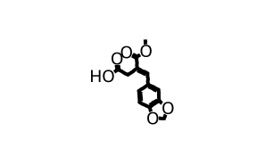 COC(=O)/C(=C/c1ccc2c(c1)OCO2)CC(=O)O